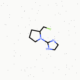 FCC1CCCN1C1[N]CCN1